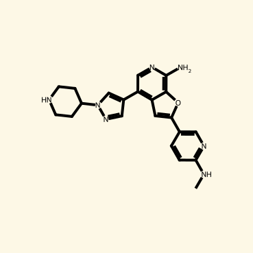 CNc1ccc(-c2cc3c(-c4cnn(C5CCNCC5)c4)cnc(N)c3o2)cn1